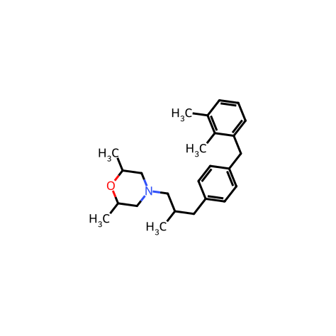 Cc1cccc(Cc2ccc(CC(C)CN3CC(C)OC(C)C3)cc2)c1C